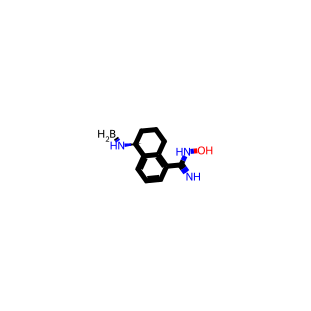 BN[C@H]1CCCc2c(C(=N)NO)cccc21